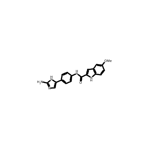 COc1ccc2[nH]c(C(=O)Nc3ccc(-c4cnc(N)[nH]4)cc3)cc2c1